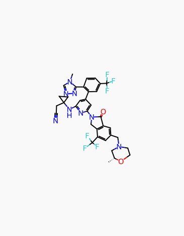 C[C@@H]1CN(Cc2cc3c(c(C(F)(F)F)c2)CN(c2cc(-c4cc(C(F)(F)F)ccc4-c4nncn4C)cc(NC4(CC#N)CC4)n2)C3=O)CCO1